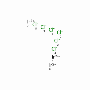 [Cl-].[Cl-].[Cl-].[Cl-].[Cl-].[Cl-].[Ir+2].[Ir+2].[Ir+2]